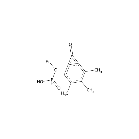 CCO[PH](=O)O.Cc1cc2c(=O)c2c(C)c1C